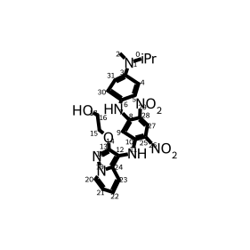 CC(C)N(C)c1ccc(Nc2cc(Nc3c(OCCO)nn4ccccc34)c([N+](=O)[O-])cc2[N+](=O)[O-])cc1